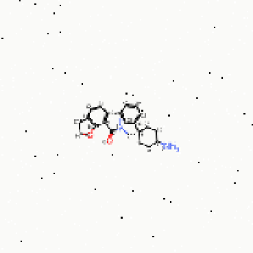 N[C@H]1CC[C@@](CNC(=O)c2cccc3c2OCC3)(c2ccccc2)CC1